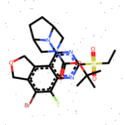 CCS(=O)(=O)c1nc(N2C3CCC2CN(C(=O)OC(C)(C)C)C3)c2c3c(c(Br)c(F)c2n1)COC3